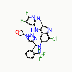 N#Cc1cnc2c(Cl)cc(NC(c3cn(C4COC4)nn3)c3ccccc3C(F)(F)F)cc2c1Nc1cnc(F)c(F)c1